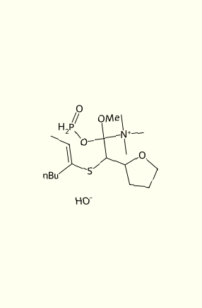 CC=C(CCCC)SC(C1CCCO1)C(OC)(O[PH2]=O)[N+](C)(C)C.[OH-]